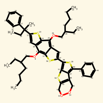 CCCCC(CC)COc1c2cc(C(C)(CC)c3ccccc3)sc2c(OCC(CC)CCCC)c2cc(-c3sc(-c4ccccc4)c4c5c(sc34)COOC5)sc12